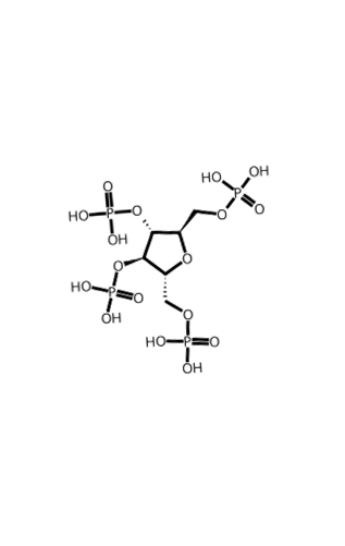 O=P(O)(O)OC[C@H]1O[C@H](COP(=O)(O)O)[C@@H](OP(=O)(O)O)[C@@H]1OP(=O)(O)O